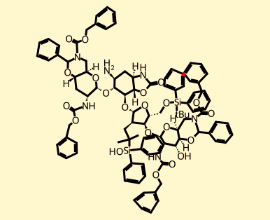 CC(C)(C[C@H]1[C@H](O[C@@H]2[C@H]3OC(=O)N[C@@H]3C[C@H](N)[C@H]2O[C@H]2O[C@@H]3CN(C(=O)OCc4ccccc4)C(c4ccccc4)O[C@H]3C[C@H]2NC(=O)OCc2ccccc2)O[C@H](CO[Si](c2ccccc2)(c2ccccc2)C(C)(C)C)[C@H]1O[C@H]1O[C@H]2CN(C(=O)OCc3ccccc3)C(c3ccccc3)O[C@H]2[C@H](O)[C@H]1NC(=O)OCc1ccccc1)[Si](O)(c1ccccc1)c1ccccc1